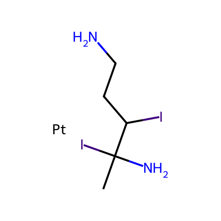 CC(N)(I)C(I)CCN.[Pt]